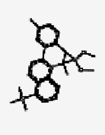 CO[N+]1(OC)C2c3ccc(C)cc3-c3ccc4c([Si](C)(C)C)cccc4[n+]3C21C